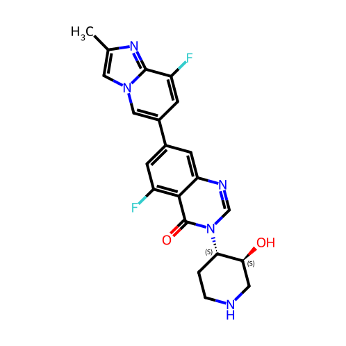 Cc1cn2cc(-c3cc(F)c4c(=O)n([C@H]5CCNC[C@@H]5O)cnc4c3)cc(F)c2n1